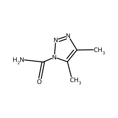 Cc1nnn(C(N)=O)c1C